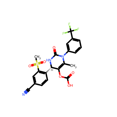 CC1=C(OC(=O)O)[C@H](c2ccc(C#N)cc2S(C)(=O)=O)NC(=O)N1c1cccc(C(F)(F)F)c1